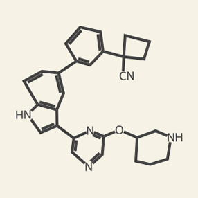 N#CC1(c2cccc(-c3ccc4[nH]cc(-c5cncc(OC6CCCNC6)n5)c4c3)c2)CCC1